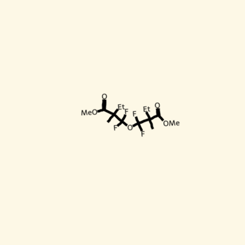 CCC(C)(C(=O)OC)C(F)(F)OC(F)(F)C(C)(CC)C(=O)OC